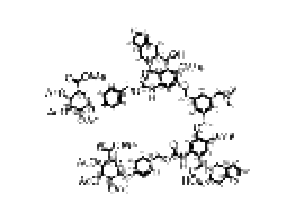 COC(=O)[C@H]1O[C@@H](Oc2ccc(COC(=O)Nc3cc(OCc4cc(COc5cc(NC(=O)OCc6ccc(O[C@@H]7O[C@H](C(=O)OC)[C@@H](OC(C)=O)[C@H](OC(C)=O)[C@H]7OC(C)=O)cc6)c(C(=O)N6Cc7ccsc7C[C@@H]6CO)cc5OC)cc(CN(C)C)c4)c(OC)cc3C(=O)N3Cc4ccsc4C[C@H]3CO)cc2)[C@H](OC(C)=O)[C@@H](OC(C)=O)[C@@H]1OC(C)=O